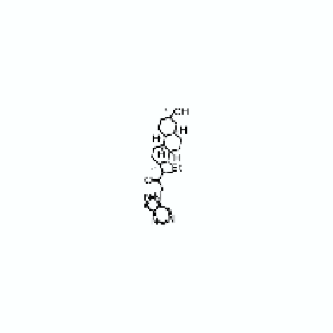 CC[C@H]1[C@@H]2CC[C@@H]3C[C@](C)(O)CC[C@@H]3[C@H]2CC[C@]1(C)[C@@H](C)C(=O)Cn1ncc2ncncc21